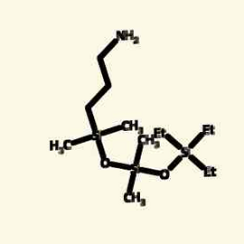 CC[Si](CC)(CC)O[Si](C)(C)O[Si](C)(C)CCCN